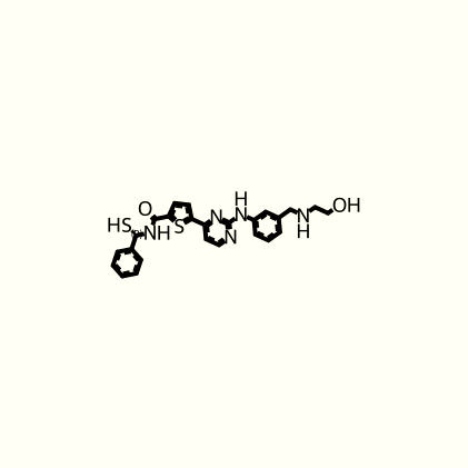 O=C(N[C@H](S)c1ccccc1)c1ccc(-c2ccnc(Nc3cccc(CNCCO)c3)n2)s1